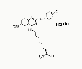 CC(C)(C)c1ccc2nc(C=Cc3ccc(Cl)cc3)nc(NCCCCCCNC(=N)N)c2c1.Cl.Cl